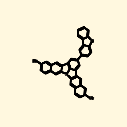 CC(C)c1ccc2cc3c(cc2c1)c1cc(-c2ccc4oc5ccccc5c4c2)cc2c4cc5cc(C(C)C)ccc5cc4n3c12